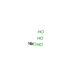 Cl.Cl.Cl.Cl.[Nb]